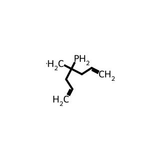 [CH2]C(P)(CC=C)CC=C